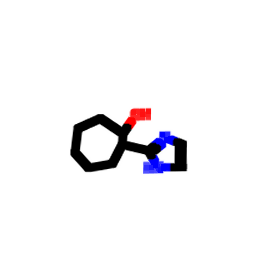 OC1CCCCCC1c1ncc[nH]1